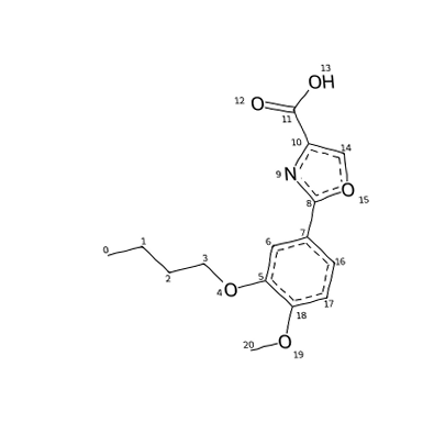 CCCCOc1cc(-c2nc(C(=O)O)co2)ccc1OC